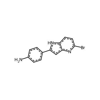 Nc1ccc(-c2cc3nc(Br)ccc3[nH]2)cc1